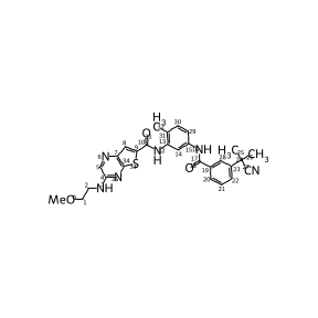 COCCNc1cnc2cc(C(=O)Nc3cc(NC(=O)c4cccc(C(C)(C)C#N)c4)ccc3C)sc2n1